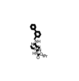 CC(C)OC(=O)Nc1nnc2c(NCc3cccc(-c4ccccc4)c3)nccn12